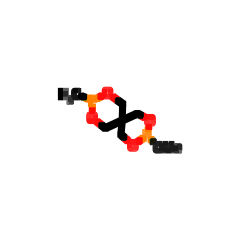 COP1OCC2(COP(C)OC2)CO1